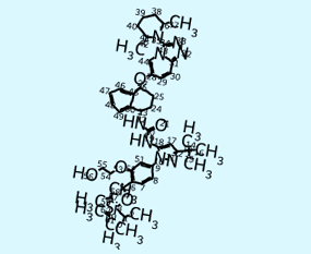 CC(C)[Si](OCc1ccc(-n2nc(C(C)(C)C)cc2NC(=O)N[C@H]2CC[C@@H](Oc3ccc4nnc(N5[C@H](C)CCC[C@@H]5C)n4c3)c3ccccc32)cc1OCCO)(C(C)C)C(C)C